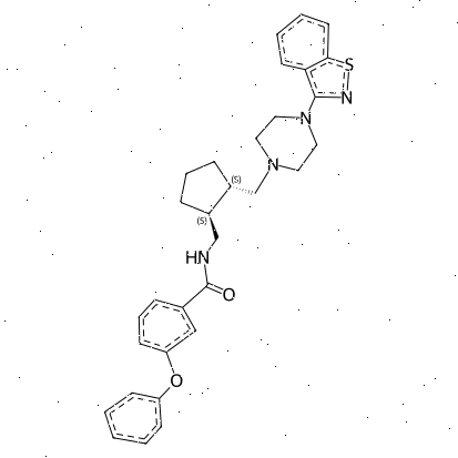 O=C(NC[C@H]1CCC[C@@H]1CN1CCN(c2nsc3ccccc23)CC1)c1cccc(Oc2ccccc2)c1